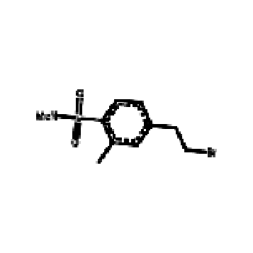 CNS(=O)(=O)c1ccc(CCBr)cc1C